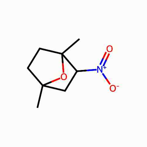 CC12CCC(C)(O1)C([N+](=O)[O-])C2